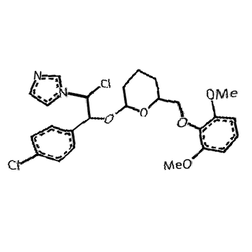 COc1cccc(OC)c1OCC1CCCC(OC(c2ccc(Cl)cc2)C(Cl)n2ccnc2)O1